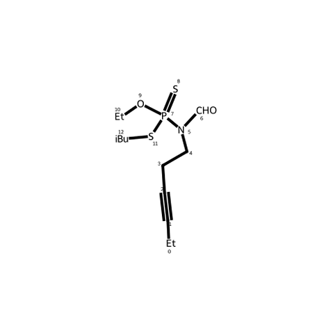 CCC#CCCN(C=O)P(=S)(OCC)SC(C)CC